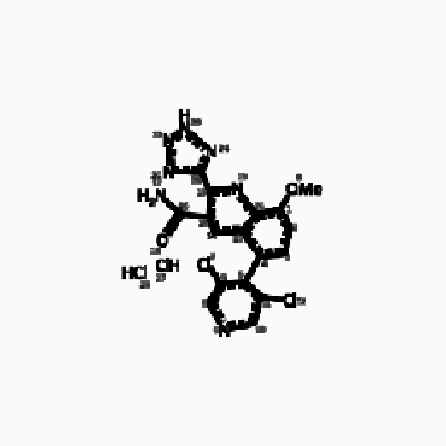 COc1ccc(-c2c(Cl)cncc2Cl)c2cc(C(N)=O)c(-c3nn[nH]n3)nc12.Cl.Cl